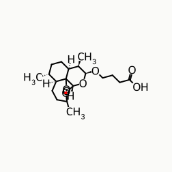 C[C@H]1[C@@H](OCCCC(=O)O)O[C@@H]2OC3(C)CC[C@H]4[C@H](C)CC[C@@H]1C24OO3